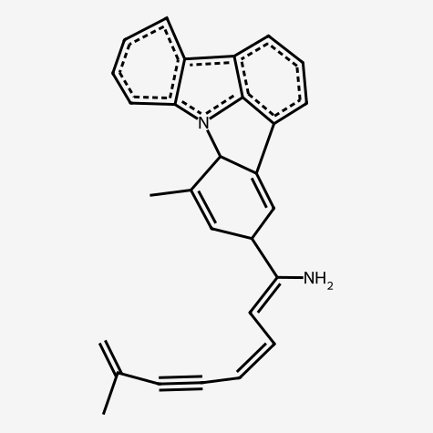 C=C(C)C#C/C=C\C=C(/N)C1C=C(C)C2C(=C1)c1cccc3c4ccccc4n2c13